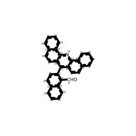 O=Cc1c(-c2c3ccc4ccccc4c3nc3c2ccc2ccccc23)ccc2ccccc12